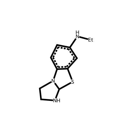 CCNc1ccc2c(c1)SC1NCCN21